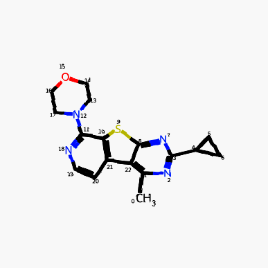 Cc1nc(C2CC2)nc2sc3c(N4CCOCC4)nccc3c12